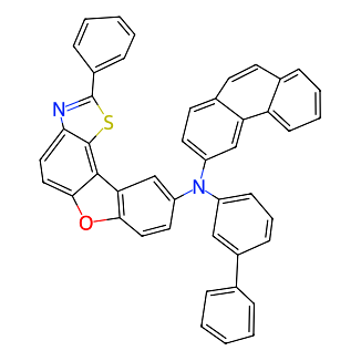 c1ccc(-c2cccc(N(c3ccc4ccc5ccccc5c4c3)c3ccc4oc5ccc6nc(-c7ccccc7)sc6c5c4c3)c2)cc1